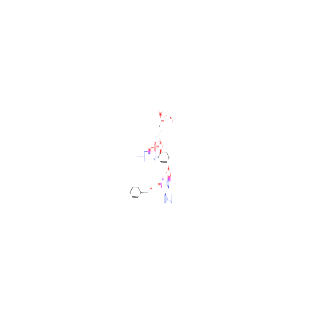 COC(C=O)CCCCOc1ccc(COC(=O)N(CCN(C)C)COCCc2ccccc2)cc1NC(C)=O